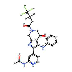 CC(=O)Nc1cc(-c2[nH]c3c(c2Nc2ccccc2)C(=O)CN(C(=O)CC(C)(C)C(F)(F)F)C3)ccn1